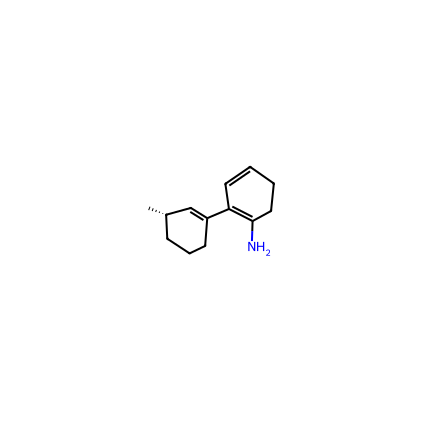 C[C@@H]1C=C(C2=C(N)CCC=C2)CCC1